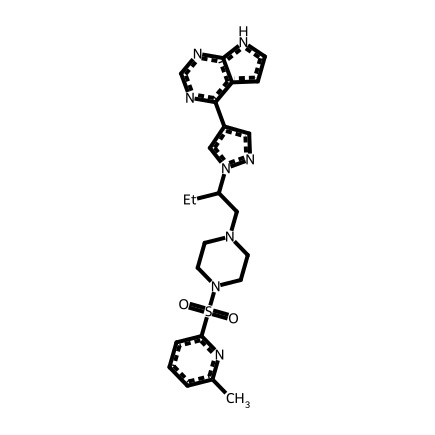 CCC(CN1CCN(S(=O)(=O)c2cccc(C)n2)CC1)n1cc(-c2ncnc3[nH]ccc23)cn1